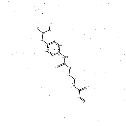 C=CC(=O)OCCOC(=O)Nc1ccc(CC(C)CC)cc1